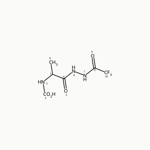 CC(NC(=O)O)C(=O)NNC(=O)C(F)(F)F